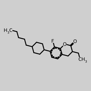 CCCCCC1CCC(c2ccc3c(c2F)OC(=O)C(CC)C3)CC1